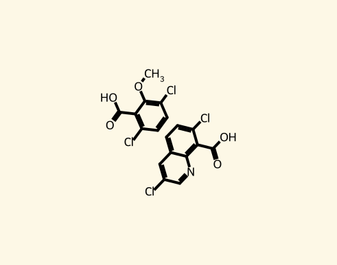 COc1c(Cl)ccc(Cl)c1C(=O)O.O=C(O)c1c(Cl)ccc2cc(Cl)cnc12